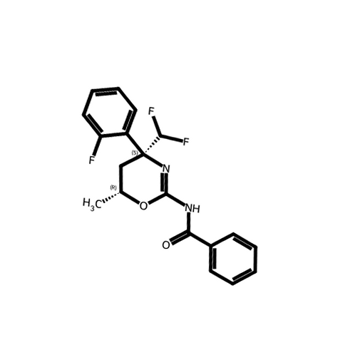 C[C@@H]1C[C@](c2ccccc2F)(C(F)F)N=C(NC(=O)c2ccccc2)O1